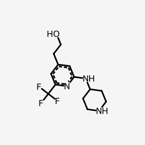 OCCc1cc(NC2CCNCC2)nc(C(F)(F)F)c1